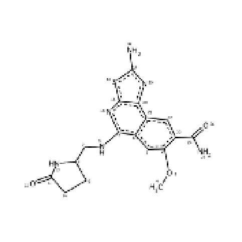 COc1cc2c(NCC3CCC(=O)N3)nc3sc(N)nc3c2cc1C(N)=O